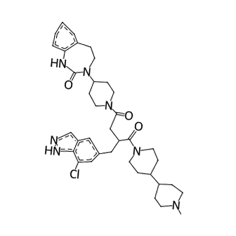 CN1CCC(C2CCN(C(=O)C(CC(=O)N3CCC(N4CCc5ccccc5NC4=O)CC3)Cc3cc(Cl)c4[nH]ncc4c3)CC2)CC1